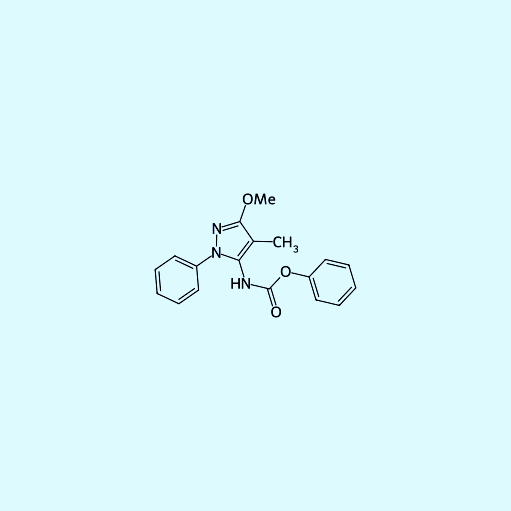 COc1nn(-c2ccccc2)c(NC(=O)Oc2ccccc2)c1C